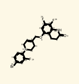 O=C1CCc2c(OCC3=CCN(c4ccc(Br)cc4F)CC3)cc(F)c(F)c2N1